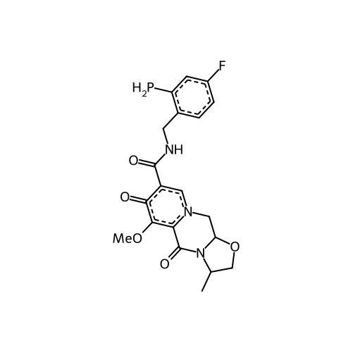 COc1c2n(cc(C(=O)NCc3ccc(F)cc3P)c1=O)CC1OCC(C)N1C2=O